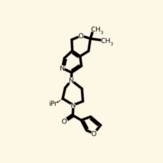 CC(C)[C@@H]1CN(c2cc3c(cn2)COC(C)(C)C3)CCN1C(=O)c1ccoc1